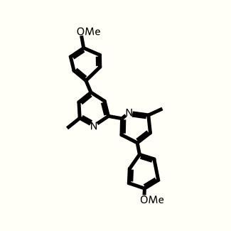 COc1ccc(-c2cc(C)nc(-c3cc(-c4ccc(OC)cc4)cc(C)n3)c2)cc1